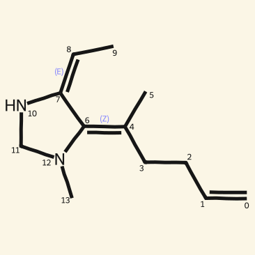 C=CCC/C(C)=C1/C(=C\C)NCN1C